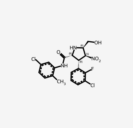 Cc1ccc(Cl)cc1NC(=O)[C@@H]1N[C@@H](CO)[C@@H]([N+](=O)[O-])[C@@H]1c1cccc(Cl)c1F